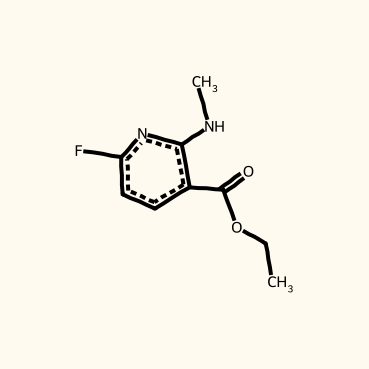 CCOC(=O)c1ccc(F)nc1NC